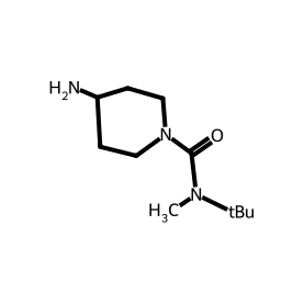 CN(C(=O)N1CCC(N)CC1)C(C)(C)C